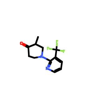 CC1CN(c2ncccc2C(F)(F)F)CCC1=O